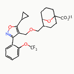 O=C(O)C12CCCC(O1)C(COCc1c(-c3ccccc3OC(F)(F)F)noc1C1CC1)CC2